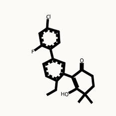 CCc1ccc(-c2ccc(Cl)cc2F)cc1C1=C(O)C(C)(C)CCC1=O